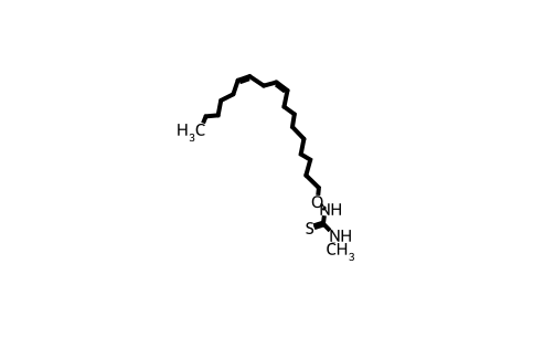 CCCCC/C=C\C/C=C\CCCCCCCCONC(=S)NC